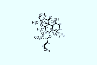 C=C[C@@]1(C)CC(=O)[C@]2(O)[C@@]3(C)[C@@H](O)CCC(C)(C)[C@@H]3[C@H](OC/C=C/C)[C@H](OC(=O)OCC)[C@@]2(C)O1